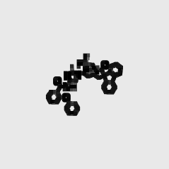 Cc1nc(NC(=O)c2ccccc2Oc2ccccc2)cn1CCCCC1(C(=O)NCC(F)(F)F)c2ccccc2-c2ccccc21